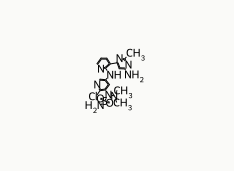 Cc1nc(N)cc(-c2cccnc2Nc2cnc(Cl)c(N(N(C)C)S(N)(=O)=O)c2)n1